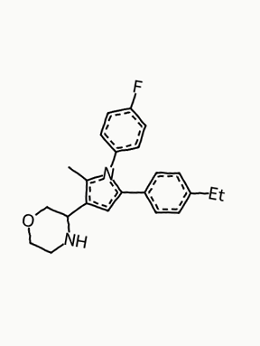 CCc1ccc(-c2cc(C3COCCN3)c(C)n2-c2ccc(F)cc2)cc1